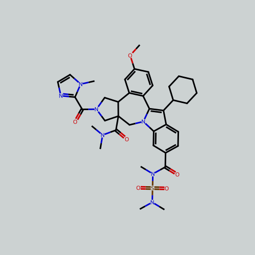 COc1ccc2c(c1)C1CN(C(=O)c3nccn3C)CC1(C(=O)N(C)C)Cn1c-2c(C2CCCCC2)c2ccc(C(=O)N(C)S(=O)(=O)N(C)C)cc21